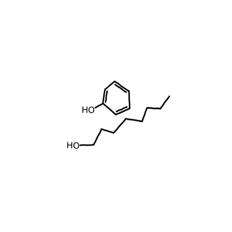 CCCCCCCCO.Oc1ccccc1